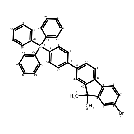 CC1(C)c2cc(Br)ccc2-c2ccc(-c3ccc([Si](c4ccccc4)(c4ccccc4)c4ccccc4)cc3)cc21